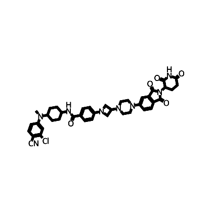 CN(c1ccc(C#N)c(Cl)c1)C1CCC(NC(=O)c2ccc(N3CC(N4CCN(c5ccc6c(c5)C(=O)N(C5CCC(=O)NC5=O)C6=O)CC4)C3)cc2)CC1